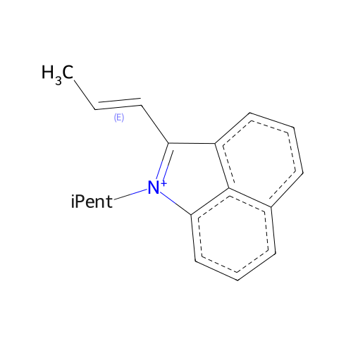 C/C=C/C1=[N+](C(C)CCC)c2cccc3cccc1c23